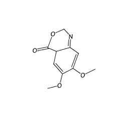 COC1=CC2=NCOC(=O)C2C=C1OC